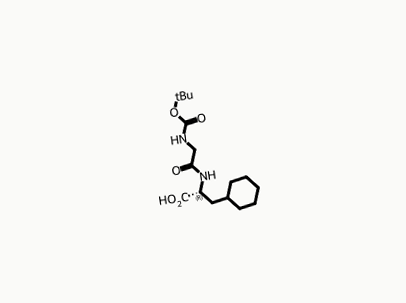 CC(C)(C)OC(=O)NCC(=O)N[C@H](CC1CCCCC1)C(=O)O